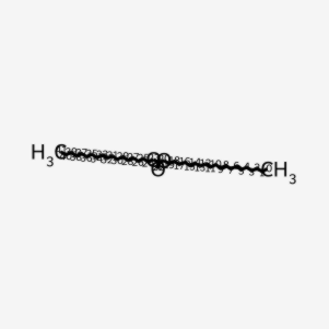 CCCCCC=CCC=CCC=CCC=CCCCCOC(=O)OCCCCCCCCC=CCCCCCCCC